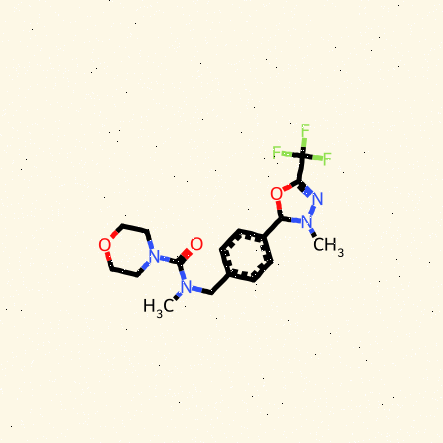 CN(Cc1ccc(C2OC(C(F)(F)F)=NN2C)cc1)C(=O)N1CCOCC1